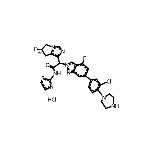 Cl.O=C(Nc1nccs1)C(c1ncn2c1C[C@@H](F)C2)n1cc2c(F)cc(-c3ccc(N4CCNCC4)c(Cl)c3)cc2n1